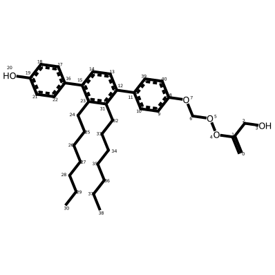 C=C(CO)OOCOc1ccc(-c2ccc(-c3ccc(O)cc3)c(CCCCCCC)c2CCCCCCC)cc1